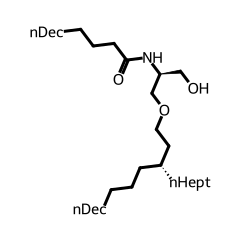 CCCCCCCCCCCCCC(=O)N[C@@H](CO)COCC[C@H](CCCCCCC)CCCCCCCCCCCCC